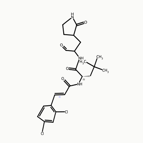 CC(C)(C)C[C@H](NC(=O)/C=C/c1ccc(Cl)cc1Cl)C(=O)NC(C=O)CC1CCNC1=O